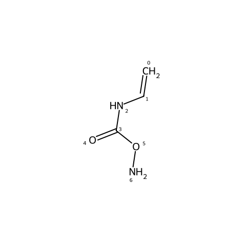 C=CNC(=O)ON